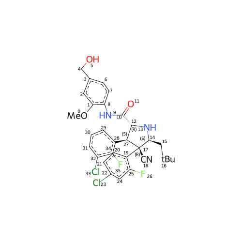 COc1cc(CO)ccc1NC(=O)[C@@H]1N[C@@H](CC(C)(C)C)[C@](C#N)(c2ccc(Cl)cc2F)[C@H]1c1cccc(Cl)c1F